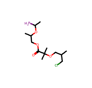 CC(CCl)COC(C)(C)C(=O)OCC(C)OC(C)P